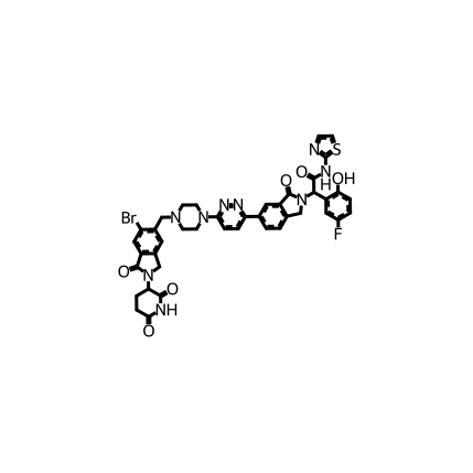 O=C1CCC(N2Cc3cc(CN4CCN(c5ccc(-c6ccc7c(c6)C(=O)N(C(C(=O)Nc6nccs6)c6cc(F)ccc6O)C7)nn5)CC4)c(Br)cc3C2=O)C(=O)N1